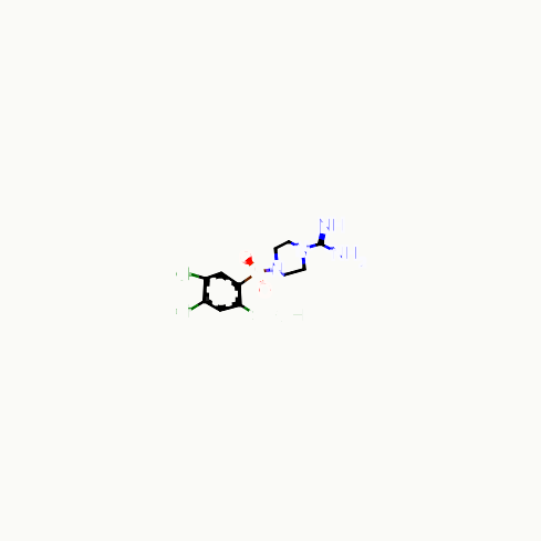 Cl.N=C(N)N1CCN(S(=O)(=O)c2cc(Cl)c(Cl)cc2Cl)CC1